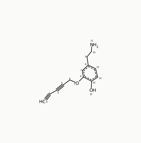 C#CC#CCOc1cc(CCN)ccc1O